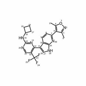 Cc1noc(C)c1-c1ccc2c(-c3nc(NC4CCC4)ncc3C(F)(F)F)c[nH]c2n1